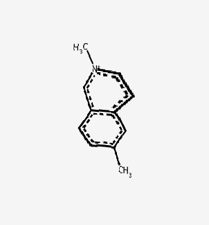 Cc1ccc2c[n+](C)ccc2c1